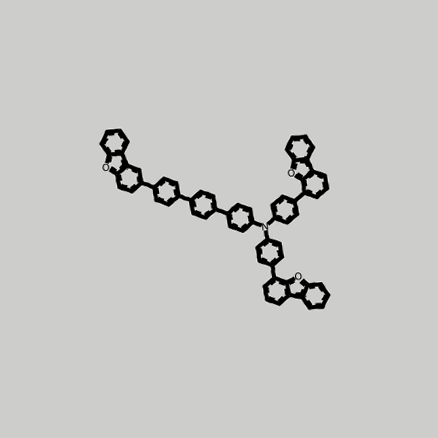 c1ccc2c(c1)oc1ccc(-c3ccc(-c4ccc(-c5ccc(N(c6ccc(-c7cccc8c7oc7ccccc78)cc6)c6ccc(-c7cccc8c7oc7ccccc78)cc6)cc5)cc4)cc3)cc12